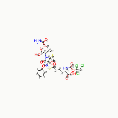 CO[C@@]1(N(Oc2ccccc2)SC(=O)CCCC(NC(=O)OC(Cl)(Cl)CCl)C(=O)O)C(=O)N2C(C(=O)O)=C(COC(N)=O)CS[C@@H]21